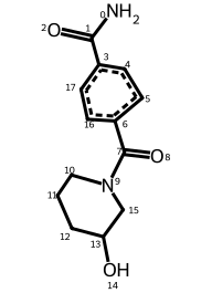 NC(=O)c1ccc(C(=O)N2CCCC(O)C2)cc1